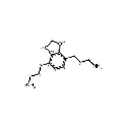 NCCCc1ccc(CCCN)c2c1OCO2